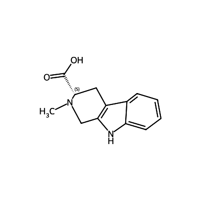 CN1Cc2[nH]c3ccccc3c2C[C@H]1C(=O)O